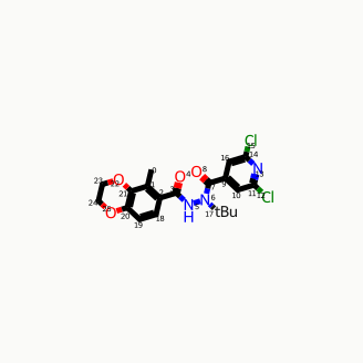 Cc1c(C(=O)NN(C(=O)c2cc(Cl)nc(Cl)c2)C(C)(C)C)ccc2c1OCCO2